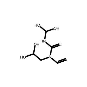 C=CN(CC(O)O)C(=O)NC(O)O